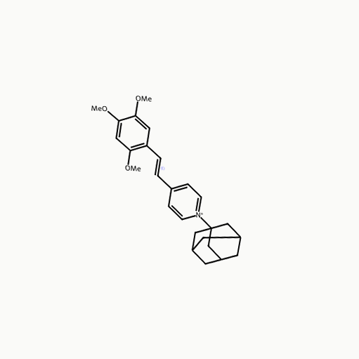 COc1cc(OC)c(OC)cc1/C=C/c1cc[n+](C23CC4CC(CC(C4)C2)C3)cc1